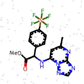 COC(=O)C(Nc1cc(C)nc2ncnn12)c1ccc(S(F)(F)(F)(F)F)cc1